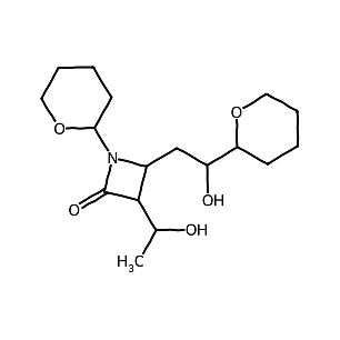 CC(O)C1C(=O)N(C2CCCCO2)C1CC(O)C1CCCCO1